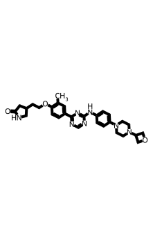 Cc1cc(-c2ncnc(Nc3ccc(N4CCN(C5COC5)CC4)cc3)n2)ccc1OCCC1CNC(=O)C1